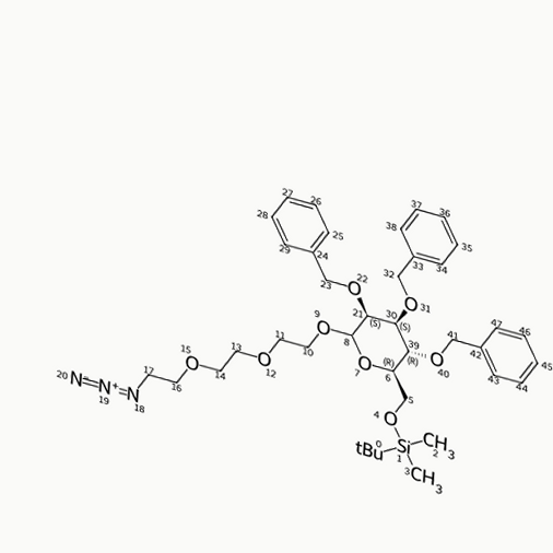 CC(C)(C)[Si](C)(C)OC[C@H]1OC(OCCOCCOCCN=[N+]=[N-])[C@@H](OCc2ccccc2)[C@@H](OCc2ccccc2)[C@@H]1OCc1ccccc1